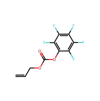 C=CCOC(=O)Oc1c(F)c(F)c(F)c(F)c1F